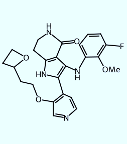 COc1c(F)cccc1Nc1c(-c2ccncc2OCCC2CCO2)[nH]c2c1C(=O)NCC2